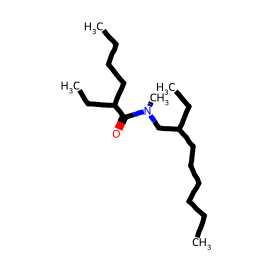 CCCCCCC(CC)CN(C)C(=O)C(CC)CCCC